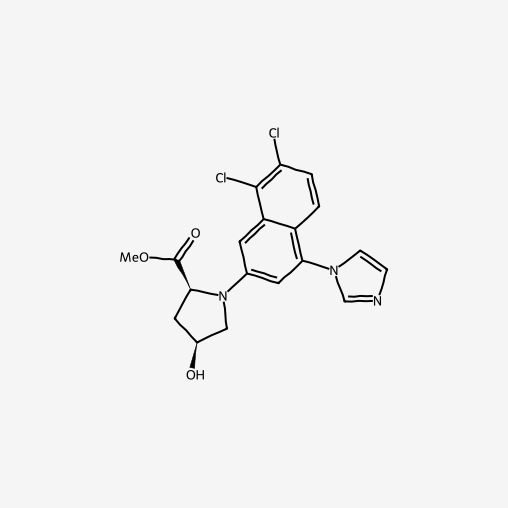 COC(=O)[C@@H]1C[C@H](O)CN1c1cc(-n2ccnc2)c2ccc(Cl)c(Cl)c2c1